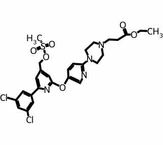 CCOC(=O)CCN1CCN(c2ccc(Oc3cc(COS(C)(=O)=O)cc(-c4cc(Cl)cc(Cl)c4)n3)cn2)CC1